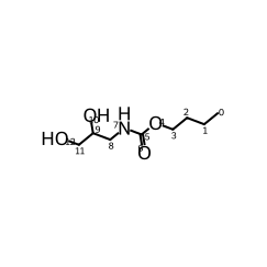 CCCCOC(=O)NCC(O)CO